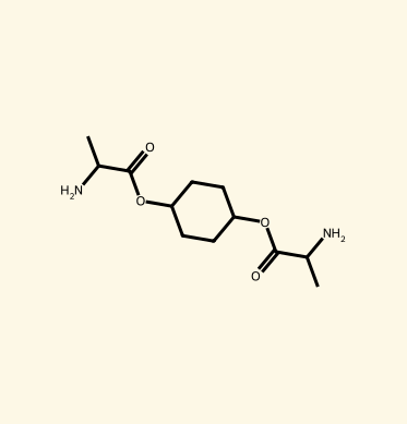 CC(N)C(=O)OC1CCC(OC(=O)C(C)N)CC1